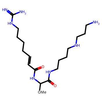 COC(NC(=O)C=CCCCCNC(=N)N)C(=O)NCCCCNCCCN